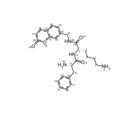 NCCCC[C@H](NC(=O)[C@@H](N)Cc1ccccc1)C(=O)NCc1ccc2ccc(=O)oc2c1